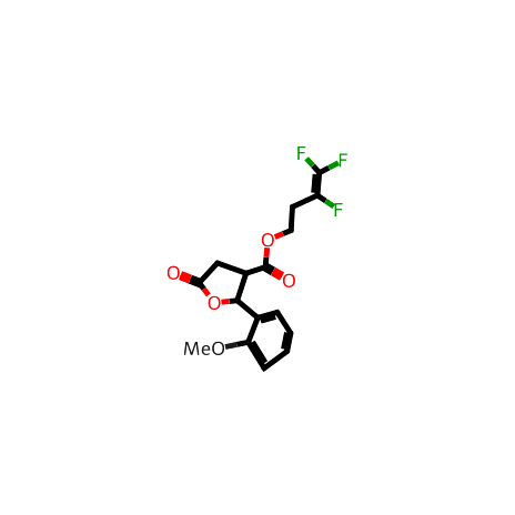 COc1ccccc1C1OC(=O)CC1C(=O)OCCC(F)=C(F)F